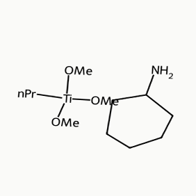 CC[CH2][Ti]([O]C)([O]C)[O]C.NC1CCCCC1